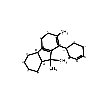 CC1(C)C2=C(CCC(N)=C2C2CC=CCC2)C2CCCCC21